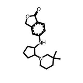 CC1(C)CCCN(C2CCCC2Nc2ccc3c(c2)COC3=O)C1